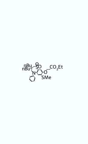 CCCCC1(CCCC)CN(c2ccccc2)c2cc(SC)c(OCCC(=O)OCC)cc2S(=O)(=O)C1